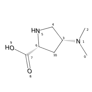 CN(C)[C@H]1CN[C@@H](C(=O)O)C1